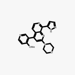 COc1ccncc1-c1cc(N2CCOCC2)nc2c(-c3ccn[nH]3)nccc12